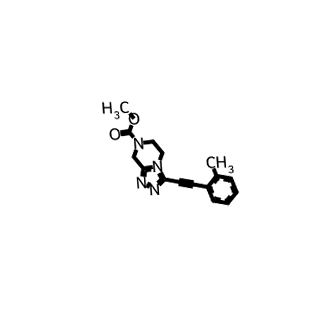 COC(=O)N1CCn2c(C#Cc3ccccc3C)nnc2C1